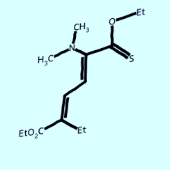 CCOC(=O)C(=CC=C(C(=S)OCC)N(C)C)CC